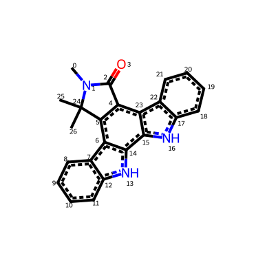 CN1C(=O)c2c(c3c4ccccc4[nH]c3c3[nH]c4ccccc4c23)C1(C)C